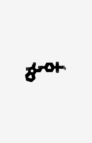 NS(=O)(=O)c1ccc(NC=C2C(=O)Nc3ccccc32)cc1